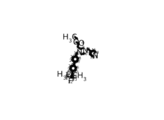 CCOC(=O)CC1CN(Cc2ccncc2)CCN1Cc1ccc(-c2ccc(C(C)(C)C(F)(F)F)cc2)cc1